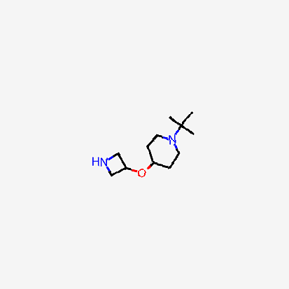 CC(C)(C)N1CCC(OC2CNC2)CC1